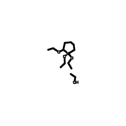 CCO.CCOC1CCCC[Si]1(OCC)OCC